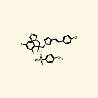 Cc1ccc(S(=O)(=O)O)cc1.OC(Cn1ccc(C=Cc2ccc(Cl)cc2)c1)(Cn1cncn1)c1ccc(F)cc1F